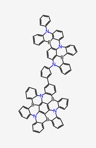 c1ccc(N2c3ccccc3B3c4ccc5c6c4N(c4ccccc4B6c4ccccc4N5c4cccc(-c5ccc6c(c5)N5c7ccccc7B7c8ccccc8N8c9ccccc9B9c%10ccccc%10N%10c%11ccccc%11B6c6c%10c9c8c7c65)c4)c4cccc2c43)cc1